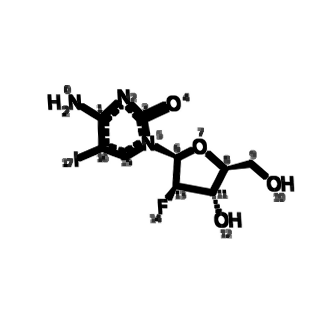 Nc1nc(=O)n([C@H]2O[C@@H](CO)[C@H](O)[C@H]2F)cc1I